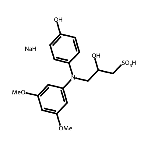 COc1cc(OC)cc(N(CC(O)CS(=O)(=O)O)c2ccc(O)cc2)c1.[NaH]